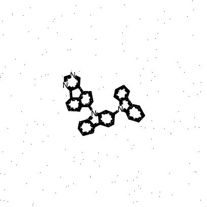 c1cc2c3c(ccc(-n4c5ccccc5c5ccc(-n6c7ccccc7c7ccccc76)cc54)c3c1)-c1cncnc1-2